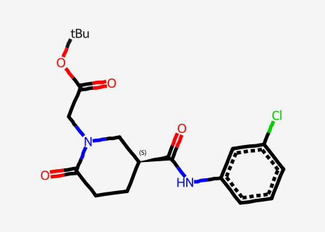 CC(C)(C)OC(=O)CN1C[C@@H](C(=O)Nc2cccc(Cl)c2)CCC1=O